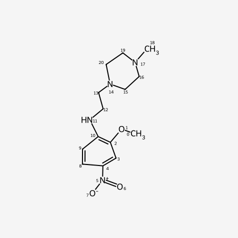 COc1cc([N+](=O)[O-])ccc1NCCN1CCN(C)CC1